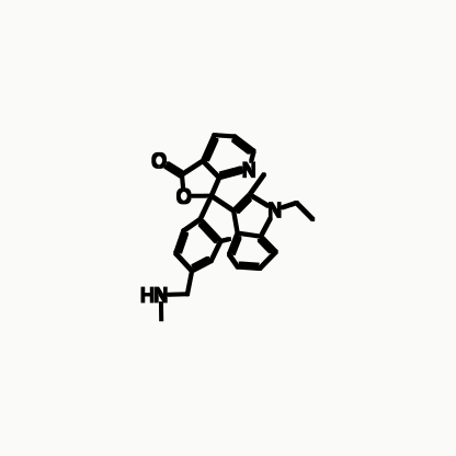 CCn1c(C)c(C2(c3ccc(CNC)cc3C)OC(=O)c3cccnc32)c2ccccc21